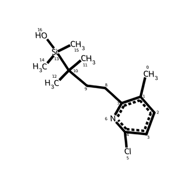 Cc1ccc(Cl)nc1CCC(C)(C)[Si](C)(C)O